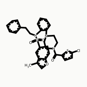 Cc1coc2ccc(S(=O)(=O)N(CCc3ccccc3)c3ccccc3N3CCN(C(=O)c4ccc(Cl)s4)CC3)cc12